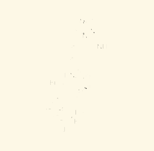 Nc1cc(C(=O)Nc2c(Br)cc(C(F)(C(F)(F)F)C(F)(F)F)cc2Br)ccc1-n1cncn1